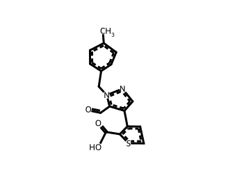 Cc1ccc(Cn2ncc(-c3ccsc3C(=O)O)c2C=O)cc1